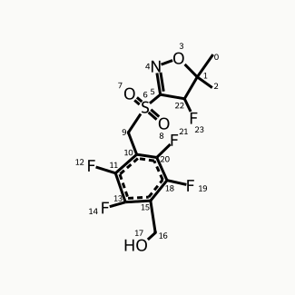 CC1(C)ON=C(S(=O)(=O)Cc2c(F)c(F)c(CO)c(F)c2F)C1F